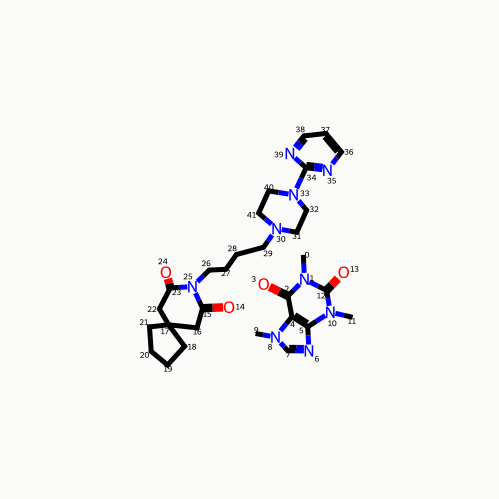 Cn1c(=O)c2c(ncn2C)n(C)c1=O.O=C1CC2(CCCC2)CC(=O)N1CCCCN1CCN(c2ncccn2)CC1